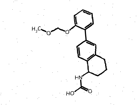 COCOc1ccccc1-c1ccc2c(c1)CCCC2NC(=O)O